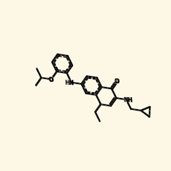 CCC1C=C(NCC2CC2)C(=O)c2ccc(Nc3ccccc3OC(C)C)cc21